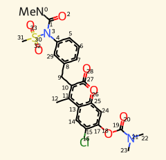 CNC(=O)N(c1cccc(Cc2c(C)c3cc(Cl)c(OC(=O)N(C)C)cc3oc2=O)c1)S(C)(=O)=O